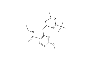 CCCC(Cc1nc(OC)ccc1C(=O)OCC)N[S+]([O-])C(C)(C)C